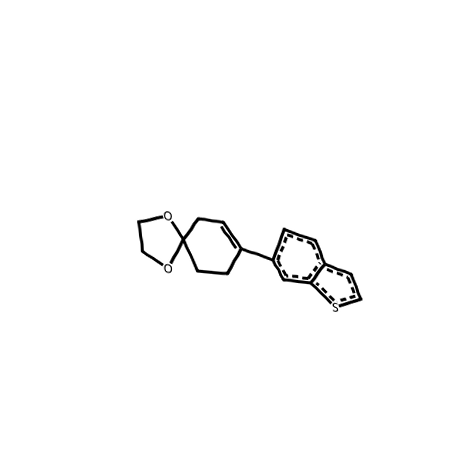 C1=C(c2ccc3ccsc3c2)CCC2(C1)OCCO2